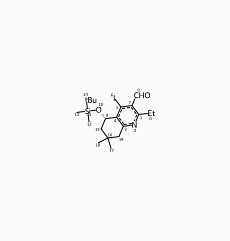 CCc1nc2c(c(I)c1C=O)[C@@H](O[Si](C)(C)C(C)(C)C)CC(C)(C)C2